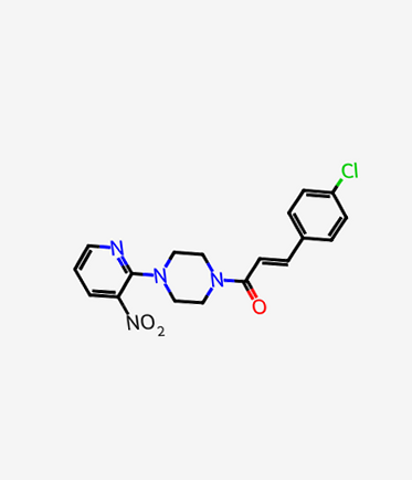 O=C(C=Cc1ccc(Cl)cc1)N1CCN(c2ncccc2[N+](=O)[O-])CC1